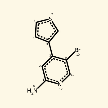 Nc1cc(-c2ccsc2)c(Br)cn1